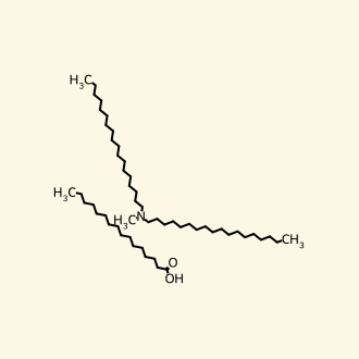 CCCCCCCCCCCCCCCC(=O)O.CCCCCCCCCCCCCCCCCCN(C)CCCCCCCCCCCCCCCCCC